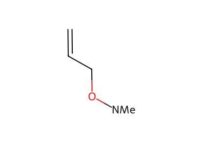 [CH]NOCC=C